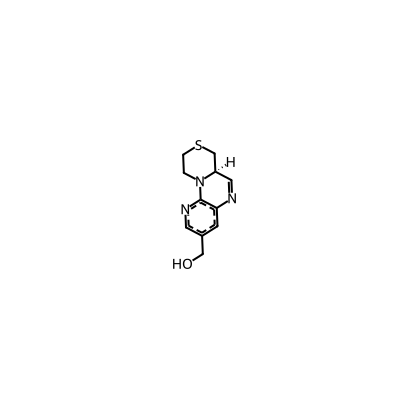 OCc1cnc2c(c1)N=C[C@@H]1CSCCN21